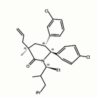 C=CC[C@@]1(C)C[C@H](c2cccc(Cl)c2)[C@@H](c2ccc(Cl)cc2)N([C@@H](CC)C(C)CC(C)C)C1=O